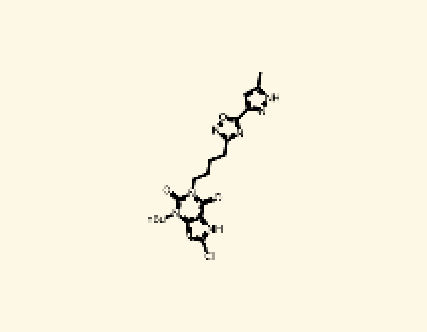 CCCCn1c(=O)n(CCCCc2noc(-c3cc(C)[nH]n3)n2)c(=O)c2[nH]c(Cl)nc21